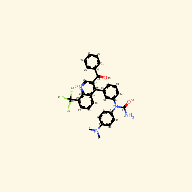 CN(C)c1ccc(N(C(N)=O)c2cccc(-c3c(C(=O)c4ccccc4)cnc4c(C(F)(F)F)cccc34)c2)cc1